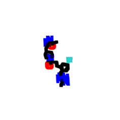 Cc1nnn(Cc2ccc(F)cc2/C=C/C(=O)N2CCC(Cc3nnc(C)o3)CC2)n1